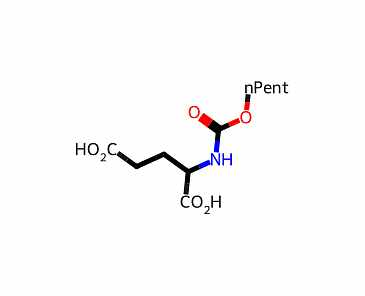 CCCCCOC(=O)NC(CCC(=O)O)C(=O)O